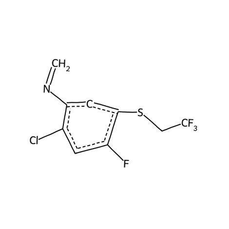 C=Nc1cc(SCC(F)(F)F)c(F)cc1Cl